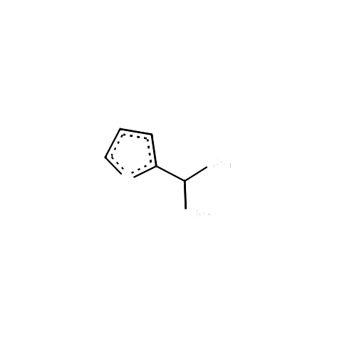 CCCCCCC(CCCCC)c1ccco1